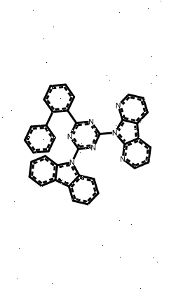 c1ccc(-c2ccccc2-c2nc(-n3c4ccccc4c4ccccc43)nc(-n3c4ncccc4c4cccnc43)n2)cc1